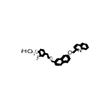 O=C(O)c1ccc(CCOCc2ccc3ccc(OCc4ccc5ccccc5n4)cc3c2)cc1F